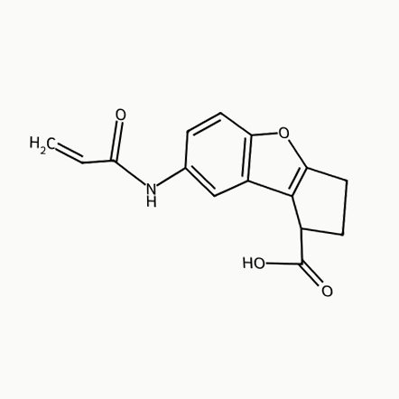 C=CC(=O)Nc1ccc2oc3c(c2c1)C(C(=O)O)CC3